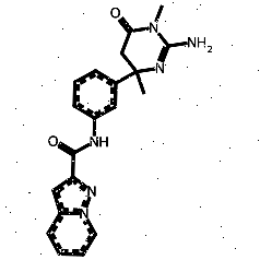 CN1C(=O)CC(C)(c2cccc(NC(=O)c3cc4ccccn4n3)c2)N=C1N